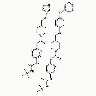 CC(C)(C)NC(=S)Nc1ccc(OC(=O)N2CCC(COc3ccc(Oc4ccccn4)cc3)CC2)nc1.CC(C)(C)NC(=S)Nc1ccc(OC(=O)N2CCC(COn3ccnc3)CC2)nc1